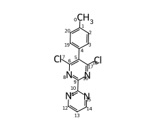 Cc1ccc(-c2c(Cl)nc(-c3ncccn3)nc2Cl)cc1